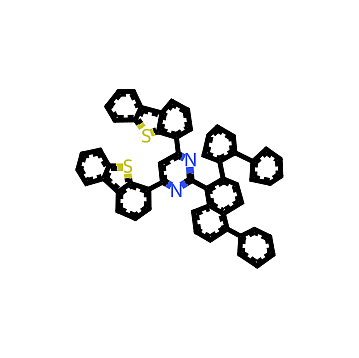 c1ccc(-c2ccccc2-c2ccc3c(-c4ccccc4)cccc3c2-c2nc(-c3cccc4c3sc3ccccc34)cc(-c3cccc4c3sc3ccccc34)n2)cc1